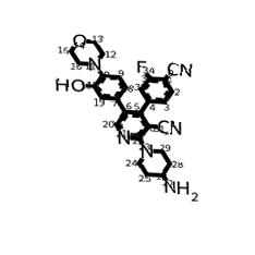 N#Cc1ccc(-c2c(-c3ccc(N4CCOCC4)c(O)c3)cnc(N3CCC(N)CC3)c2C#N)cc1F